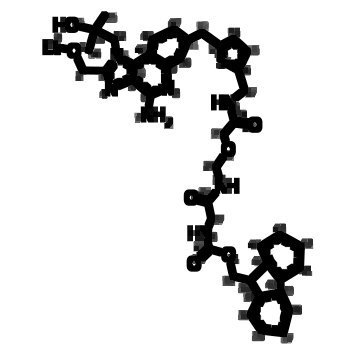 CCOCc1nc2c(N)nc3cc(Cc4ccc(CNC(=O)COCNC(=O)CNC(=O)OCC5c6ccccc6-c6ccccc65)s4)ccc3c2n1CC(C)(C)O